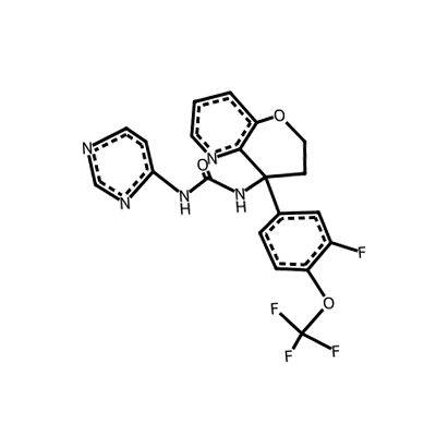 O=C(Nc1ccncn1)NC1(c2ccc(OC(F)(F)F)c(F)c2)CCOc2cccnc21